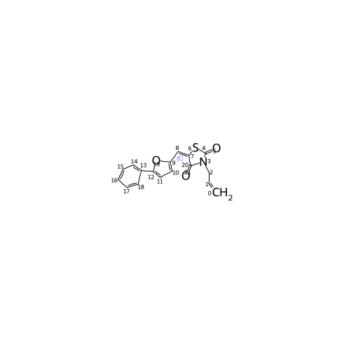 C=CCN1C(=O)S/C(=C/c2ccc(-c3ccccc3)o2)C1=O